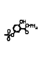 CS(=O)(=O)Oc1ccc(O)c(C(=O)OP)c1